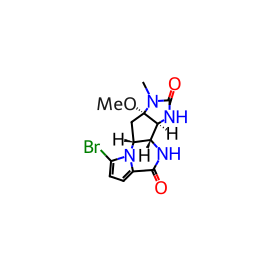 CO[C@@]12C[C@@H]3[C@@H](NC(=O)c4ccc(Br)n43)[C@@H]1NC(=O)N2C